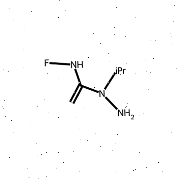 C=C(NF)N(N)C(C)C